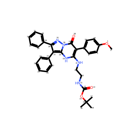 COc1ccc(-c2c(NCCNC(=O)OC(C)(C)C)[nH]c3c(-c4ccccc4)c(-c4ccccc4)nn3c2=O)cc1